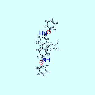 CCCC1(CCC)c2cc(NOc3ccccc3)ccc2-c2ccc(NOc3ccccc3)cc21